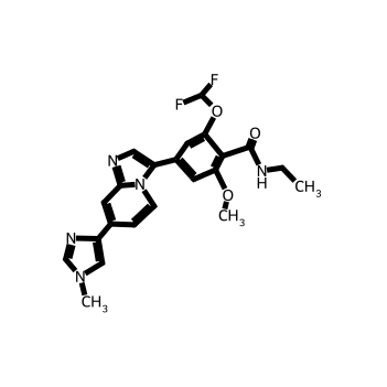 CCNC(=O)c1c(OC)cc(-c2cnc3cc(-c4cn(C)cn4)ccn23)cc1OC(F)F